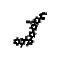 CC(OC(=O)Nc1c(-c2ccc(-c3ccc(C4(C(=O)O)CCN(C(=O)OC(C)(C)C)CC4)cc3)cc2)cnn1C)c1ccccc1